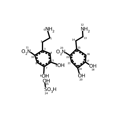 NCCc1cc(O)c(O)cc1[N+](=O)[O-].NCCc1cc(O)c(O)cc1[N+](=O)[O-].O=S(=O)(O)O